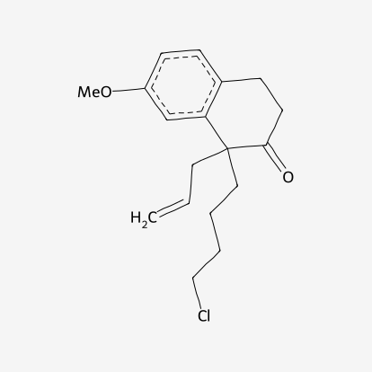 C=CCC1(CCCCCl)C(=O)CCc2ccc(OC)cc21